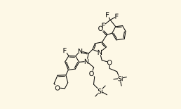 C[Si](C)(C)CCOCn1cc(C(=O)c2ccccc2C(F)(F)F)cc1-c1nc2c(F)cc(C3=CCOCC3)cc2n1COCC[Si](C)(C)C